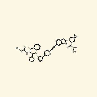 CC(C)[C@H](C)C(=O)N1CC2(CC2)C[C@H]1c1nc2ccc(C#Cc3ccc(-c4cnc([C@@H]5CCCN5C(=O)[C@H](NC(=O)OC(C)(C)C)[C@H](C)c5ccccc5)[nH]4)cc3)cc2[nH]1